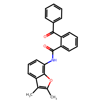 Cc1oc2c(NC(=O)c3ccccc3C(=O)c3ccccc3)cccc2c1C